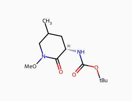 CON1CC(C)C[C@H](NC(=O)OC(C)(C)C)C1=O